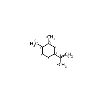 C=C1CC(C(=C)C)CCC1C